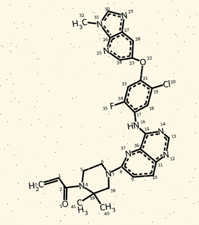 C=CC(=O)N1CCN(c2ccc3ncnc(Nc4cc(Cl)c(Oc5cnc6c(c5)ncn6C)cc4F)c3n2)CC1(C)C